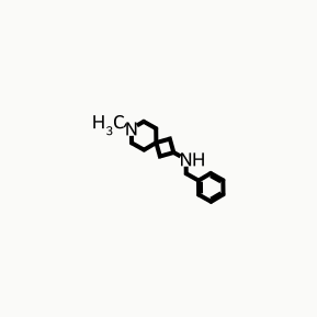 CN1CCC2(CC1)CC(NCc1ccccc1)C2